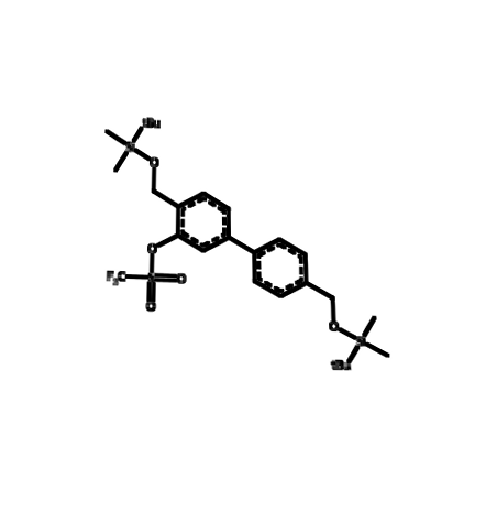 CC(C)(C)[Si](C)(C)OCc1ccc(-c2ccc(CO[Si](C)(C)C(C)(C)C)c(OS(=O)(=O)C(F)(F)F)c2)cc1